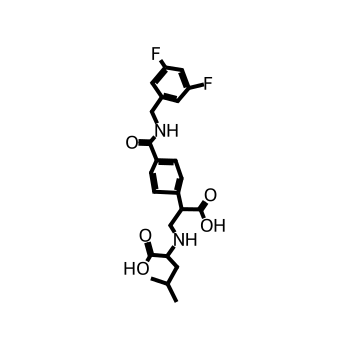 CC(C)CC(NCC(C(=O)O)c1ccc(C(=O)NCc2cc(F)cc(F)c2)cc1)C(=O)O